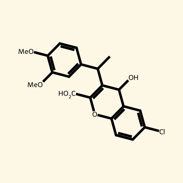 COc1ccc(C(C)C2=C(C(=O)O)Oc3ccc(Cl)cc3C2O)cc1OC